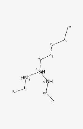 CCCCC[SiH](NCC)NCC